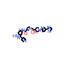 O=C(Nc1ccc2[nH]nc(-c3ccncc3)c2c1)C1CCN(CC(O)C2CCN(c3ccc(-c4ncccn4)cn3)CC2)C1